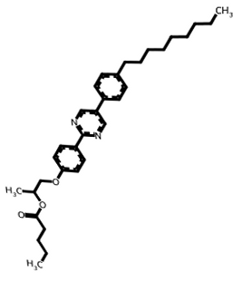 CCCCCCCCCc1ccc(-c2cnc(-c3ccc(OCC(C)OC(=O)CCCC)cc3)nc2)cc1